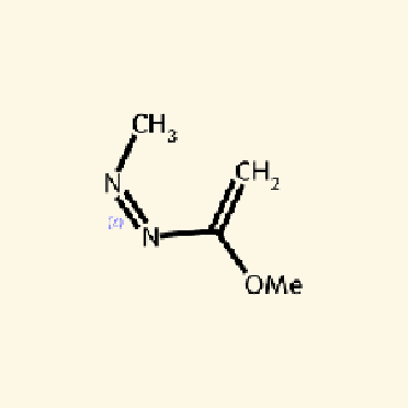 C=C(/N=N\C)OC